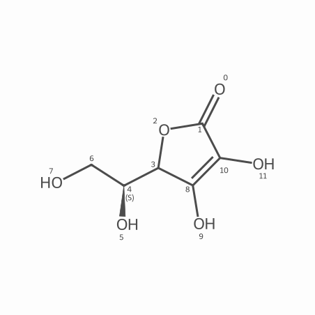 O=C1OC([C@@H](O)CO)C(O)=C1O